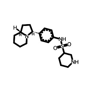 O=S(=O)(Nc1ccc([C@H]2CC[C@H]3CCCCN32)cc1)C1CCCNC1